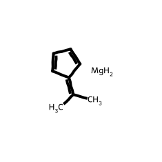 CC(C)=C1C=CC=C1.[MgH2]